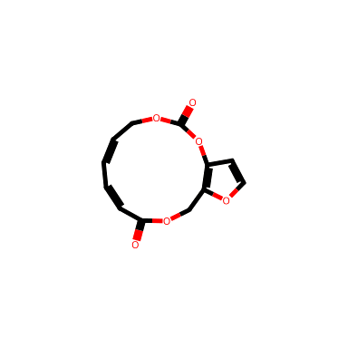 O=C1C=CC=CCOC(=O)Oc2ccoc2CO1